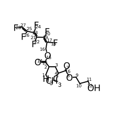 CCC(CC(C)C(=O)OCCCO)C(=O)OC\C(F)=C(F)/C(F)=C(F)/C(F)=C/F